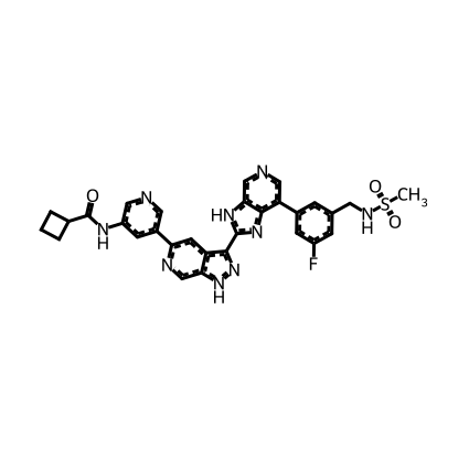 CS(=O)(=O)NCc1cc(F)cc(-c2cncc3[nH]c(-c4n[nH]c5cnc(-c6cncc(NC(=O)C7CCC7)c6)cc45)nc23)c1